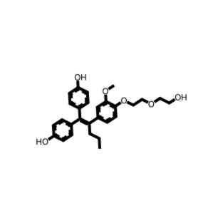 CCCC(=C(c1ccc(O)cc1)c1ccc(O)cc1)c1ccc(OCCOCCO)c(OC)c1